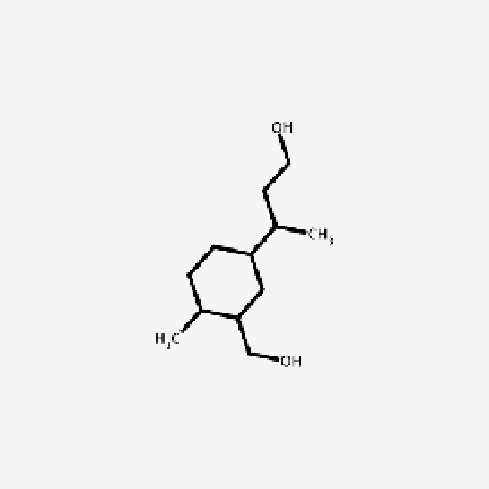 CC1CCC(C(C)CCO)CC1CO